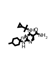 CCCC1(Nc2ncc(C(N)=O)c(NC(C)(C)C3CC3)n2)CCC(C)CC1